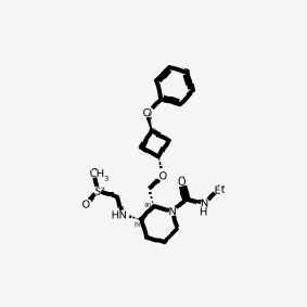 CCNC(=O)N1CCC[C@H](NC[S+](C)[O-])[C@@H]1CO[C@H]1C[C@H](Oc2ccccc2)C1